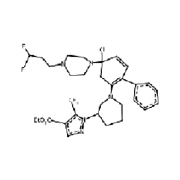 CCOC(=O)c1cnn(C2CCCN(C3=C(c4ccccc4)C=CC(Cl)(N4CCN(CCC(F)F)CC4)C3)C2)c1C(F)(F)F